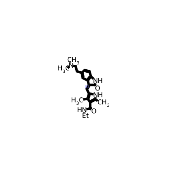 CCNC(=O)c1c(C)[nH]c(/C=C2\C(=O)Nc3ccc(CCN(C)C)cc32)c1C